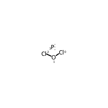 ClOCl.[P]